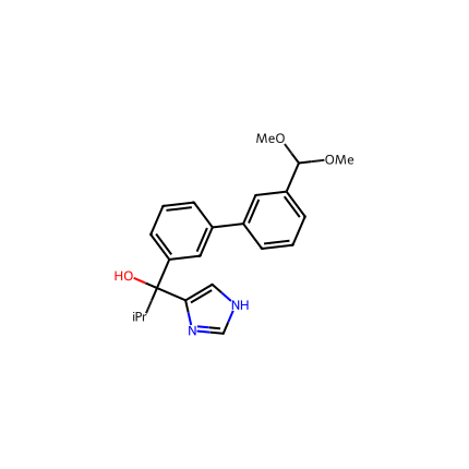 COC(OC)c1cccc(-c2cccc(C(O)(c3c[nH]cn3)C(C)C)c2)c1